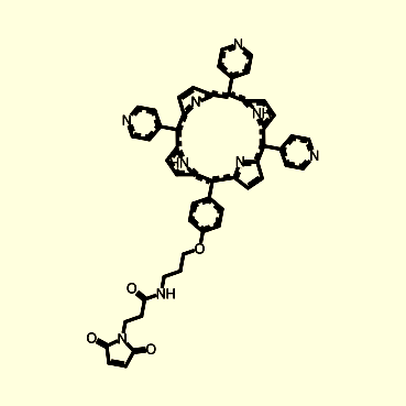 O=C(CCN1C(=O)C=CC1=O)NCCCOc1ccc(-c2c3nc(c(-c4ccncc4)c4ccc([nH]4)c(-c4ccncc4)c4nc(c(-c5ccncc5)c5ccc2[nH]5)C=C4)C=C3)cc1